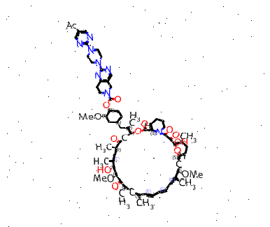 CO[C@H]1C[C@@H]2CC[C@@H](C)[C@@](O)(O2)C(=O)C(=O)N2CCCC[C@H]2C(=O)O[C@H]([C@H](C)C[C@@H]2CC[C@@H](OC(=O)N3CCc4nc(N5CCN(c6ncc(C(C)=O)cn6)CC5)ncc4C3)[C@H](OC)C2)CC(=O)[C@H](C)/C=C(\C)[C@@H](O)[C@@H](OC)C(=O)[C@H](C)C[C@H](C)/C=C/C=C/C=C/1C